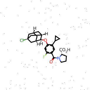 O=C(O)[C@@H]1CCCN1C(=O)c1cc(C2CC2)c(O[C@H]2[C@@H]3C[C@H]4C[C@H]2C[C@@](Cl)(C4)C3)cc1F